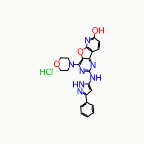 Cl.Oc1ccc2c(n1)oc1c(N3CCOCC3)nc(Nc3cc(-c4ccccc4)n[nH]3)nc12